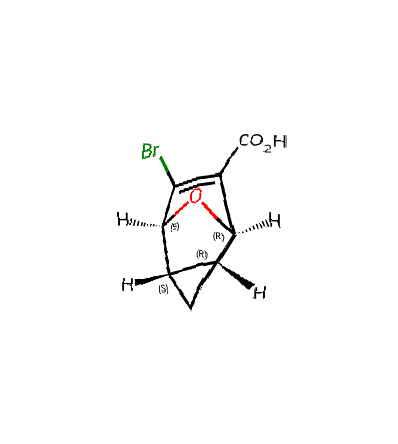 O=C(O)C1=C(Br)[C@H]2O[C@@H]1[C@@H]1C[C@@H]12